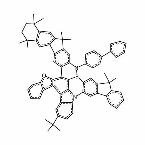 CC(C)(C)c1ccc2c(c1)c1c3c(oc4ccccc43)c3c4c1n2-c1cc2c(cc1B4N(c1ccc(-c4ccccc4)cc1)c1cc4c(cc1-3)-c1cc3c(cc1C4(C)C)C(C)(C)CCC3(C)C)C(C)(C)c1ccccc1-2